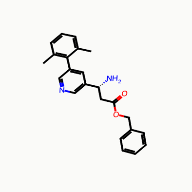 Cc1cccc(C)c1-c1cncc([C@H](N)CC(=O)OCc2ccccc2)c1